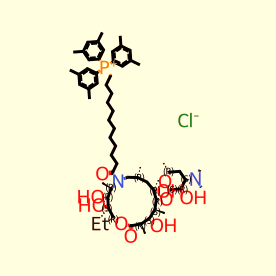 CC[C@H]1OC(=O)[C@H](C)[C@@H](O)[C@H](C)[C@@H](O[C@@H]2O[C@H](C)C[C@H](N(C)C)[C@H]2O)[C@](C)(O)C[C@@H](C)CN(C(=O)CCCCCCCCCCC[P+](c2cc(C)cc(C)c2)(c2cc(C)cc(C)c2)c2cc(C)cc(C)c2)[C@H](C)[C@@H](O)[C@]1(C)O.[Cl-]